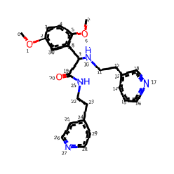 COc1ccc(OC)c(C(NCCc2cccnc2)C(=O)NCCc2ccncc2)c1